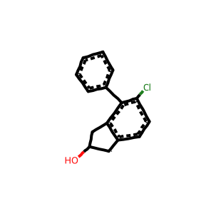 OC1[CH]c2ccc(Cl)c(-c3ccccc3)c2C1